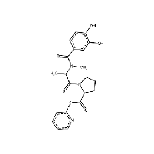 CC(C(=O)N1CCCC1C(=O)Sc1ccccn1)N(C)C(=O)c1ccc(O)c(O)c1